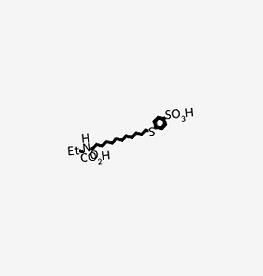 CCC(NC(=O)CCCCCCCCCCCSc1ccc(S(=O)(=O)O)cc1)C(=O)O